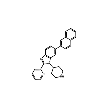 c1ccc(-c2nc3ccc(-c4ccc5ccccc5c4)nc3n2C2CCNCC2)nc1